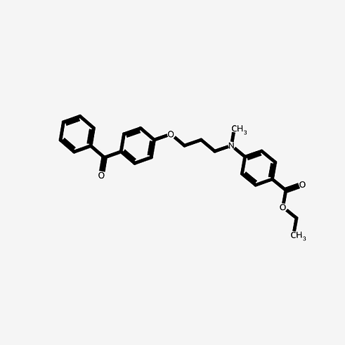 CCOC(=O)c1ccc(N(C)CCCOc2ccc(C(=O)c3ccccc3)cc2)cc1